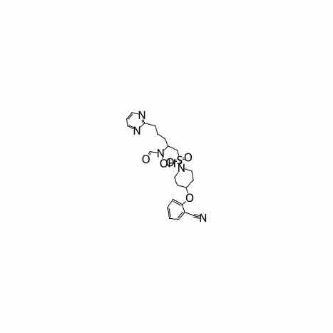 N#Cc1ccccc1OC1CCN(S(=O)(=O)CC(CCCc2ncccn2)N(O)C=O)CC1